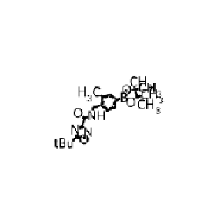 Cc1cc(B2OC(C)(C)C(C)(C)O2)ccc1CNC(=O)c1noc(C(C)(C)C)n1